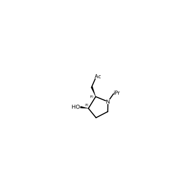 CC(=O)C[C@@H]1[C@H](O)CCN1C(C)C